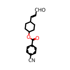 N#Cc1ccc(C(=O)OC2CCC(C=CC=O)CC2)cc1